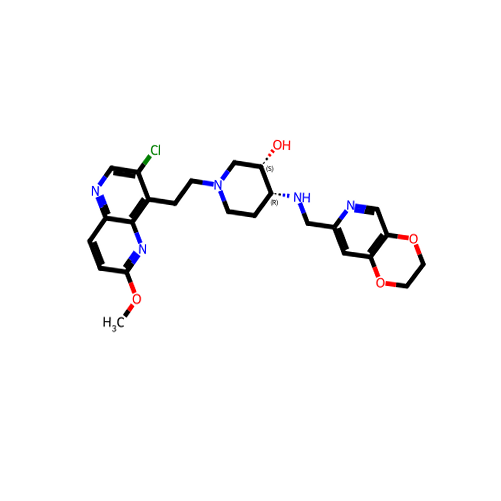 COc1ccc2ncc(Cl)c(CCN3CC[C@@H](NCc4cc5c(cn4)OCCO5)[C@@H](O)C3)c2n1